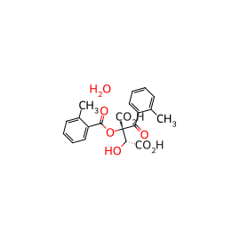 Cc1ccccc1C(=O)O[C@](C(=O)O)(C(=O)c1ccccc1C)[C@@H](O)C(=O)O.O